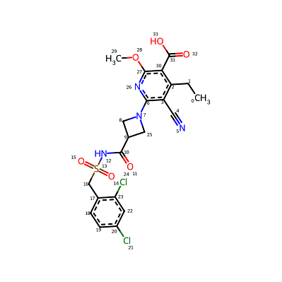 CCc1c(C#N)c(N2CC(C(=O)NS(=O)(=O)Cc3ccc(Cl)cc3Cl)C2)nc(OC)c1C(=O)O